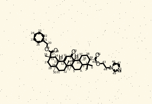 CC1(C)C2CC[C@]3(C)[C@H](C(=O)C=C4[C@@H]5C[C@@](C)(C(=O)OCc6ccccc6)CC[C@]5(C)CC[C@]43C)[C@@]2(C)CC[C@@H]1C(=O)OCCn1ccnc1